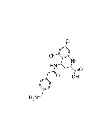 NCc1ccc(CC(=O)NC2CC(C(=O)O)Nc3cc(Cl)cc(Cl)c32)cc1